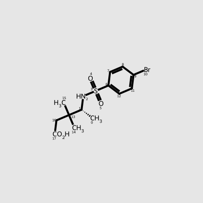 C[C@@H](NS(=O)(=O)c1ccc(Br)cc1)C(C)(C)CC(=O)O